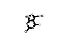 O=Cc1n[nH]c2nc(Cl)nc(Cl)c12